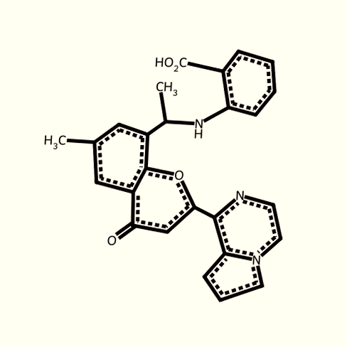 Cc1cc(C(C)Nc2ccccc2C(=O)O)c2oc(-c3nccn4cccc34)cc(=O)c2c1